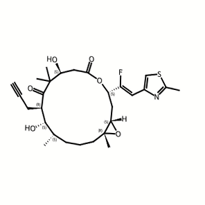 C#CC[C@H]1C(=O)C(C)(C)[C@@H](O)CC(=O)O[C@H](C(F)=Cc2csc(C)n2)C[C@@H]2O[C@]2(C)CCC[C@H](C)[C@@H]1O